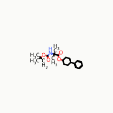 CC(C)(C)OC(=O)NC(C)(C)C(=O)OC1CCC(c2ccccc2)CC1